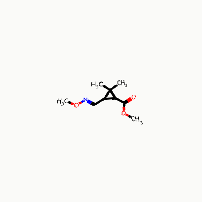 CON=CC1C(C(=O)OC)C1(C)C